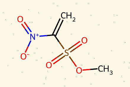 C=C([N+](=O)[O-])S(=O)(=O)OC